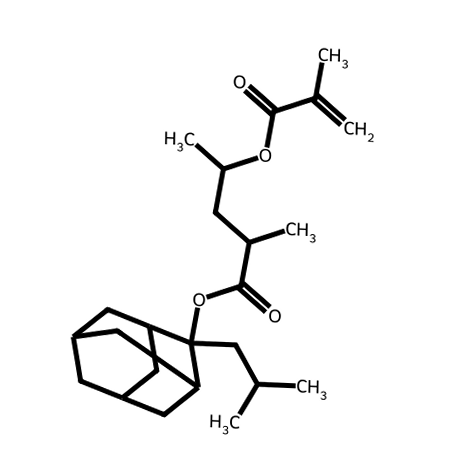 C=C(C)C(=O)OC(C)CC(C)C(=O)OC1(CC(C)C)C2CC3CC(C2)CC1C3